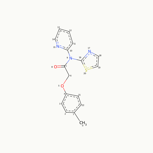 Cc1ccc(OCC(=O)N(c2ccccn2)c2nccs2)cc1